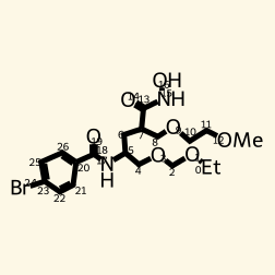 CCOCOCC(CC(COCCOC)C(=O)NO)NC(=O)c1ccc(Br)cc1